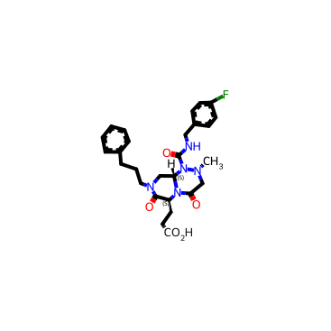 CN1CC(=O)N2[C@@H](CCC(=O)O)C(=O)N(CCCc3ccccc3)C[C@@H]2N1C(=O)NCc1ccc(F)cc1